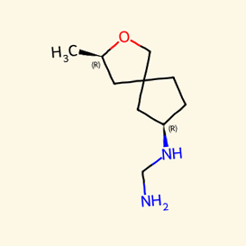 C[C@@H]1CC2(CC[C@@H](NCN)C2)CO1